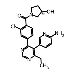 CCc1ncnc(-c2ccc(C(=O)N3CC[C@@H](O)C3)c(Cl)c2)c1-c1ccc(N)nc1